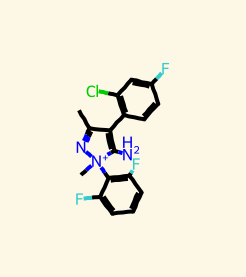 CC1=N[N+](C)(c2c(F)cccc2F)C(N)=C1c1ccc(F)cc1Cl